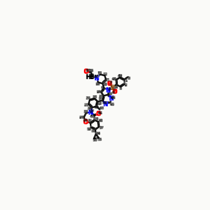 Cc1ccc(S(=O)(=O)n2c(C3=CCCN(BC=O)C3)cc3c(-c4cccc(N5CCOc6cc(C7CC7)ccc6C5=O)c4C)ncnc32)cc1